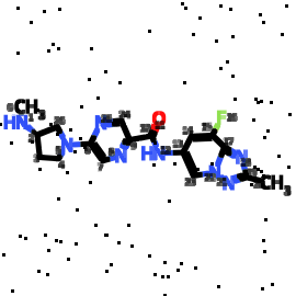 CN[C@@H]1CCN(c2cnc(C(=O)Nc3cc(F)c4nc(C)nn4c3)cn2)C1